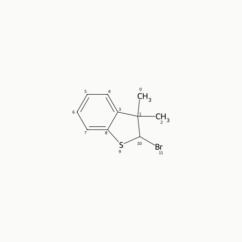 CC1(C)c2ccccc2SC1Br